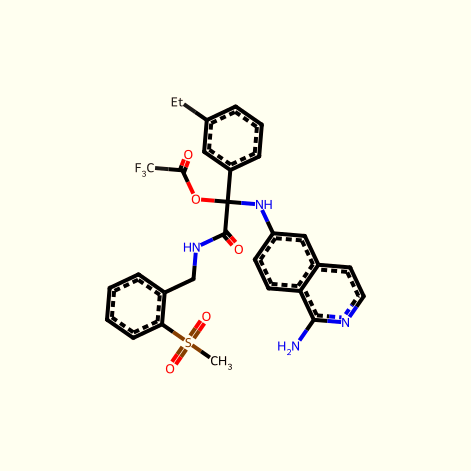 CCc1cccc(C(Nc2ccc3c(N)nccc3c2)(OC(=O)C(F)(F)F)C(=O)NCc2ccccc2S(C)(=O)=O)c1